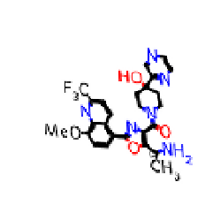 COc1ccc(-c2nc(C(=O)N3CCC(O)(c4cnccn4)CC3)c([C@H](C)N)o2)c2ccc(C(F)(F)F)nc12